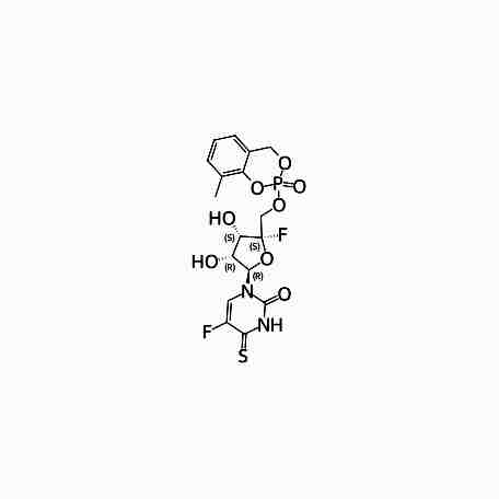 Cc1cccc2c1OP(=O)(OC[C@@]1(F)O[C@@H](n3cc(F)c(=S)[nH]c3=O)[C@H](O)[C@@H]1O)OC2